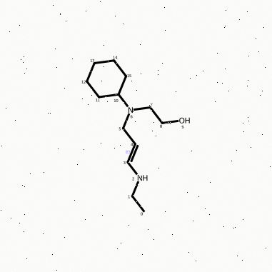 CCN/C=C/CN(CCO)C1CCCCC1